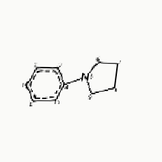 [c]1cccc(N2CCCC2)c1